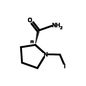 NC(=O)[C@H]1CCCN1CI